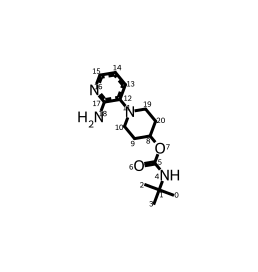 CC(C)(C)NC(=O)OC1CCN(c2cccnc2N)CC1